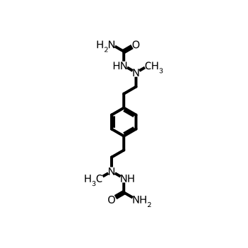 CN(CCc1ccc(CCN(C)NC(N)=O)cc1)NC(N)=O